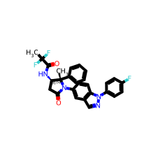 CC(F)(F)C(=O)N[C@@H]1CC(=O)N(c2ccc3c(cnn3-c3ccc(F)cc3)c2)[C@@]1(C)c1ccccc1